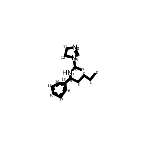 CCCCC(NC(C)N1C=NCC1)c1ccccc1